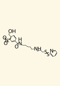 O=C(NCCCCCNCCCSSc1ccccn1)c1ccc(CO)c([N+](=O)[O-])c1